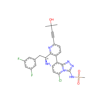 CC(C)(O)C#Cc1ccc(-c2ccc(Cl)n3c(NS(C)(=O)=O)nnc23)c([C@@H](N)Cc2cc(F)cc(F)c2)n1